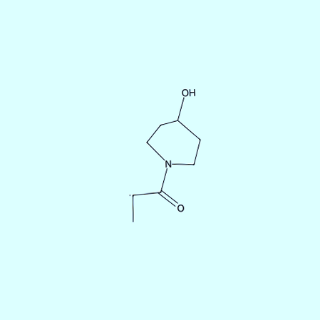 C[CH]C(=O)N1CCC(O)CC1